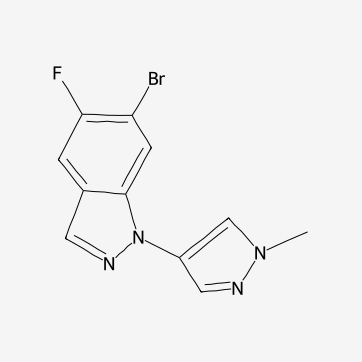 Cn1cc(-n2ncc3cc(F)c(Br)cc32)cn1